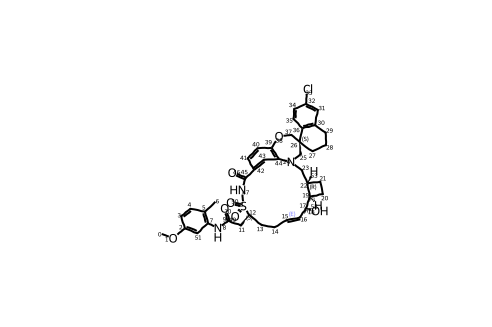 COc1ccc(C)c(NC(=O)C[C@@H]2CC/C=C/[C@H](O)[C@@H]3CC[C@H]3CN3C[C@@]4(CCCc5cc(Cl)ccc54)COc4ccc(cc43)C(=O)NS2(=O)=O)c1